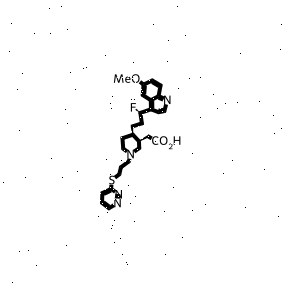 COc1ccc2nccc([C@@H](F)CC[C@@H]3CCN(CCCSc4cccnn4)C[C@@H]3CC(=O)O)c2c1